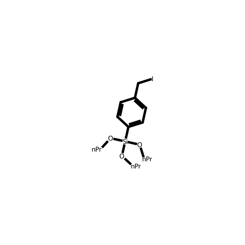 CCCO[Si](OCCC)(OCCC)c1ccc(CI)cc1